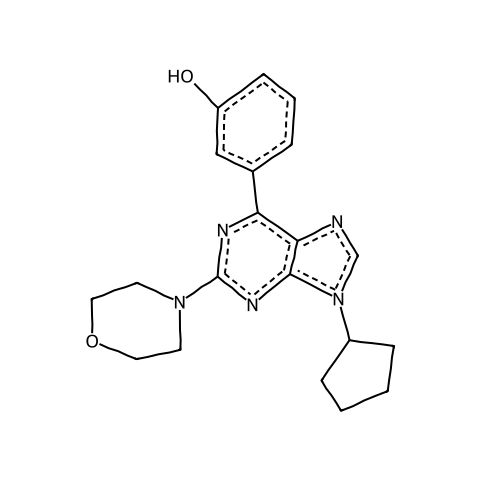 Oc1cccc(-c2nc(N3CCOCC3)nc3c2ncn3C2CCCC2)c1